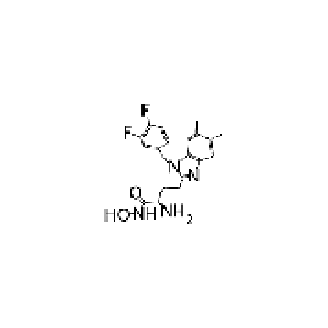 Cc1cc2nc(CCC(N)C(=O)NO)n(Cc3ccc(F)c(F)c3)c2cc1C